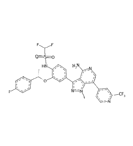 C[C@H](Oc1cc(-c2nn(C)c3c(-c4ccnc(C(F)(F)F)c4)cnc(N)c23)ccc1NS(=O)(=O)C(F)F)c1ccc(F)cc1